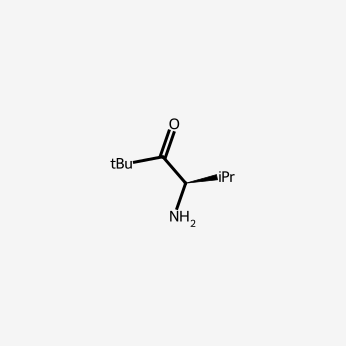 CC(C)[C@@H](N)C(=O)C(C)(C)C